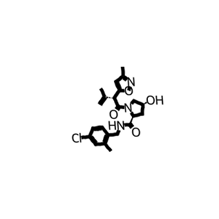 C=C(C)[C@@H](C(=O)N1C[C@H](O)C[C@H]1C(=O)NCc1ccc(Cl)cc1C)c1cc(C)no1